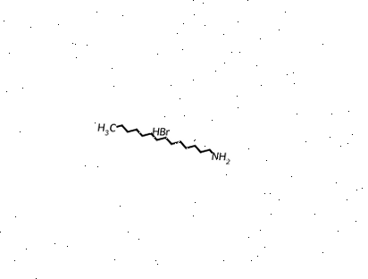 Br.CCCCCCCCCCCCCCN